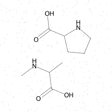 CNC(C)C(=O)O.O=C(O)C1CCCN1